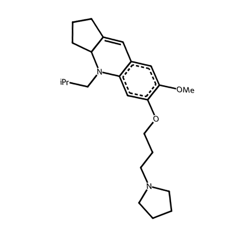 COc1cc2c(cc1OCCCN1CCCC1)N(CC(C)C)C1CCCC1=C2